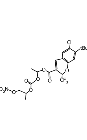 CC(CO[N+](=O)[O-])OC(=O)OC(C)OC(=O)C1=Cc2cc(Cl)c(C(C)(C)C)cc2O[C@@H]1C(F)(F)F